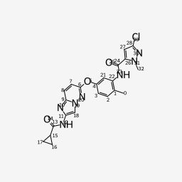 Cc1ccc(Oc2ccc3nc(NC(=O)C4CC4)cn3n2)cc1NC(=O)c1cc(Cl)nn1C